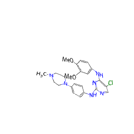 COc1ccc(Nc2nc(Nc3ccc(N4CCN(C)CC4)cc3)ncc2Cl)cc1OC